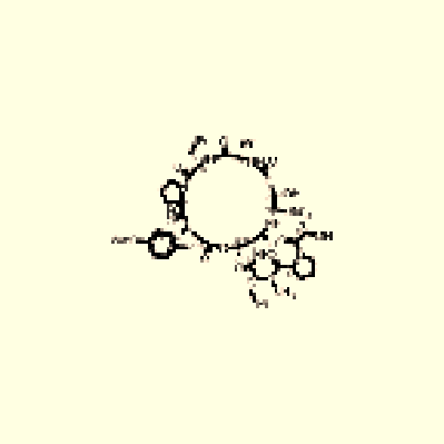 CC[C@H](C)[C@@H]1NC(=O)[C@H](NC(=O)[C@@H](CC(C)C)N(C)C(=O)[C@@H]2CCCN2C(=O)[C@@H](C)O)[C@H](C)OC(=O)[C@H](Cc2ccc(OC)cc2)N(C)C(=O)[C@@H]2CCCN2C(=O)[C@H](CC(C)C)NC(=O)[C@H](C(C)C)NC(=O)C[C@@H]1O